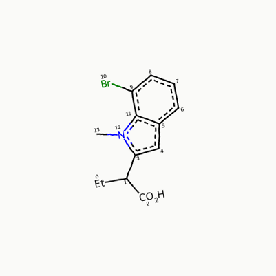 CCC(C(=O)O)c1cc2cccc(Br)c2n1C